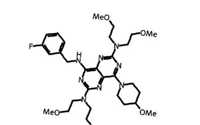 COCCN(CCOC)c1nc(N2CCC(OC)CC2)c2nc(N(CCOC)CCOC)nc(NCc3cccc(F)c3)c2n1